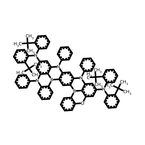 CC(C)(C)c1ccccc1N(c1cc2c3c(c1)N(c1ccccc1)c1cc4c(cc1B3c1ccccc1O2)B1c2ccccc2N(c2ccccc2)c2cc(N(c3ccccc3C(C)(C)C)c3ccccc3C(C)(C)C)cc(c21)N4c1ccccc1)c1ccccc1C(C)(C)C